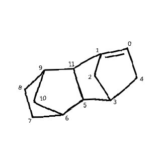 C1=C2CC(C1)C1C3CCC(C3)C21